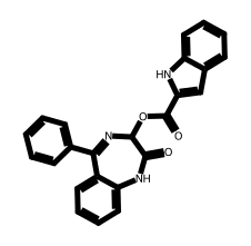 O=C(OC1N=C(c2ccccc2)c2ccccc2NC1=O)c1cc2ccccc2[nH]1